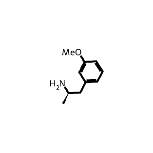 COc1cccc(C[C@@H](C)N)c1